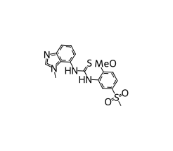 COc1ccc(S(C)(=O)=O)cc1NC(=S)Nc1cccc2ncn(C)c12